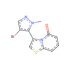 Cn1ncc(Br)c1-c1csc2cccc(=O)n12